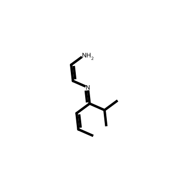 C\C=C/C(=N\C=C/N)C(C)C